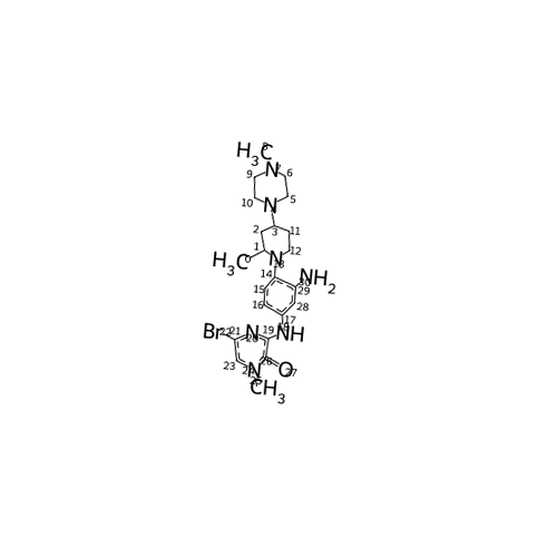 CC1CC(N2CCN(C)CC2)CCN1c1ccc(Nc2nc(Br)cn(C)c2=O)cc1N